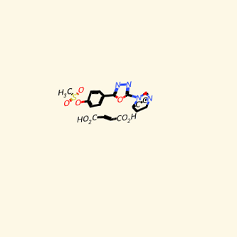 CS(=O)(=O)Oc1ccc(-c2nnc(N3CCN4CCC3CC4)o2)cc1.O=C(O)/C=C/C(=O)O